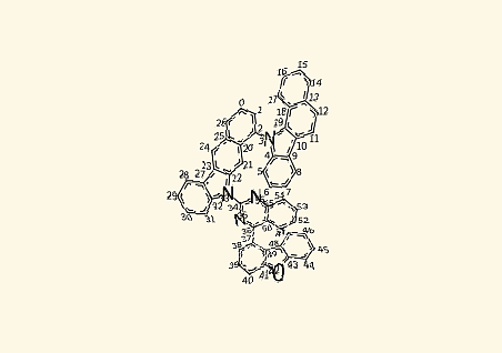 c1cc(-n2c3ccccc3c3ccc4ccccc4c32)c2cc3c(cc2c1)c1ccccc1n3-c1nc(-c2cccc3oc4ccccc4c23)c2ccccc2n1